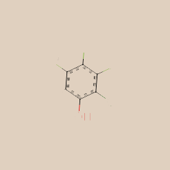 Oc1cc(F)c(F)c(F)c1Cl